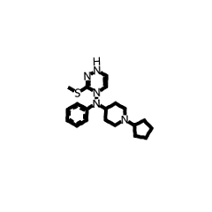 CSC1=NNC=CN1N(c1ccccc1)C1CCN(C2CCCC2)CC1